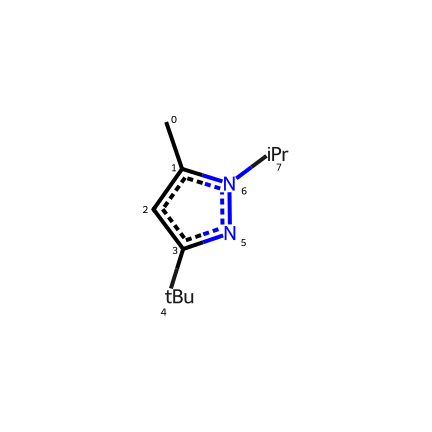 Cc1cc(C(C)(C)C)nn1C(C)C